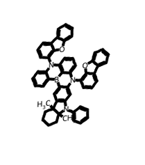 CC12CCCCC1(C)N(c1ccccc1)c1cc3c(cc12)B1c2ccccc2N(c2cccc4c2oc2ccccc24)c2cccc(c21)N3c1cccc2c1oc1ccccc12